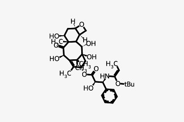 C/C=C(\N[C@@H](c1ccccc1)[C@@H](O)C(=O)O[C@H]1C[C@@]2(O)[C@@H](O)C3[C@@H]4CO[C@@H]4C[C@H](O)[C@@]3(C)C(=O)[C@H](O)C(=C1C)C2(C)C)OC(C)(C)C